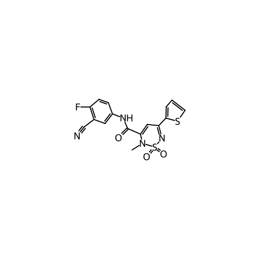 CN1C(C(=O)Nc2ccc(F)c(C#N)c2)=CC(c2cccs2)=NS1(=O)=O